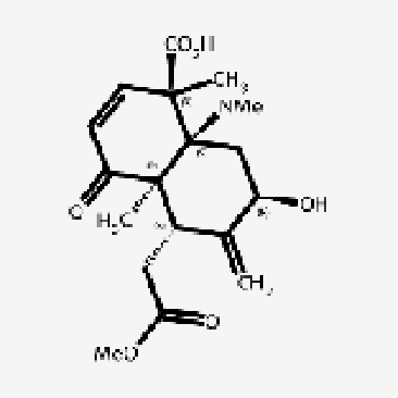 C=C1[C@H](O)C[C@@]2(NC)[C@](C)(C(=O)O)C=CC(=O)[C@]2(C)[C@H]1CC(=O)OC